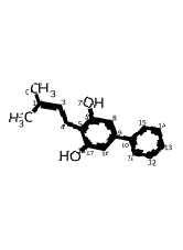 CC(C)=CCc1c(O)cc(-c2ccccc2)cc1O